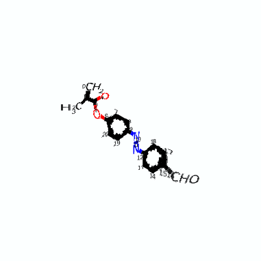 C=C(C)C(=O)Oc1ccc(N=Nc2ccc(C=O)cc2)cc1